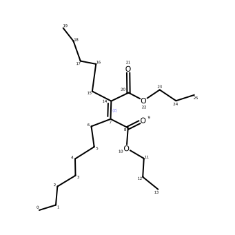 CCCCCCC/C(C(=O)OCCC)=C(\CCCCC)C(=O)OCCC